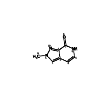 Cn1cc2cc[nH]c(=O)c2n1